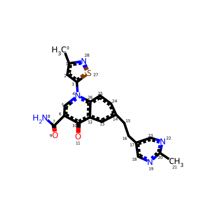 Cc1cc(-n2cc(C(N)=O)c(=O)c3cc(CCc4cnc(C)nc4)ccc32)sn1